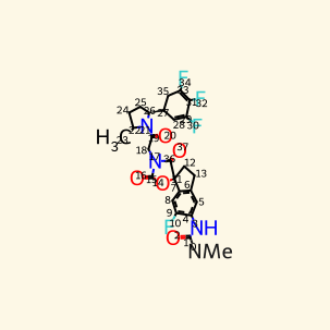 CNC(=O)Nc1cc2c(cc1F)C1(CC2)OC(=O)N(CC(=O)N2[C@@H](C)CC[C@H]2C2C=C(F)C(F)=C(F)C2)C1=O